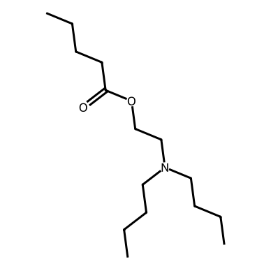 CCCCC(=O)OCCN(CCCC)CCCC